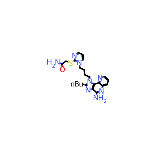 CCCCc1nc2c(N)nc3cccnc3c2n1CCCCN1C=CC=NC1SCC(N)=O